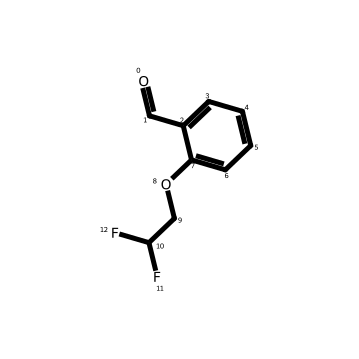 O=Cc1ccccc1OCC(F)F